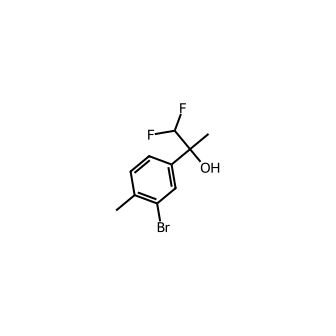 Cc1ccc(C(C)(O)C(F)F)cc1Br